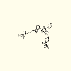 CS(=O)(=O)N1CCN(Cc2cc3nc(-c4cccc5c4cnn5CCCCC(=O)NO)nc(N4CCOCC4)c3s2)CC1